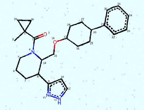 CC1(C(=O)N2CCCC(c3cc[nH]n3)C2COC2CCC(c3ccccc3)CC2)CC1